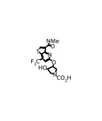 CNC(=O)c1csc2c(C(F)(F)F)cc(OC3CN(C(=O)O)CC3O)nc12